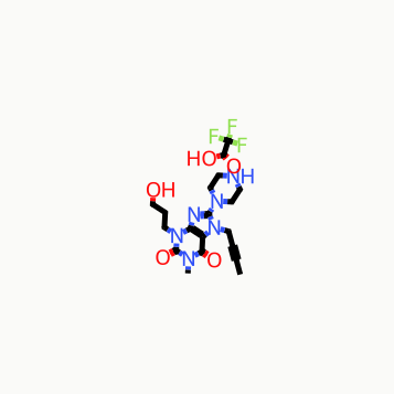 CC#CCn1c(N2CCNCC2)nc2c1c(=O)n(C)c(=O)n2CCCO.O=C(O)C(F)(F)F